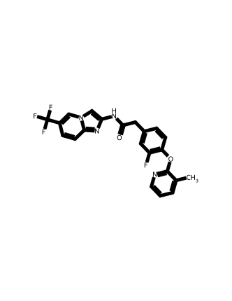 Cc1cccnc1Oc1ccc(CC(=O)Nc2cn3cc(C(F)(F)F)ccc3n2)cc1F